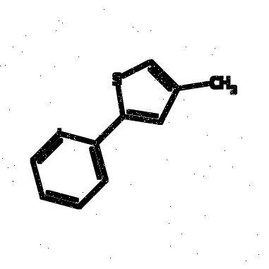 Cc1csc(-c2[c]cccc2)c1